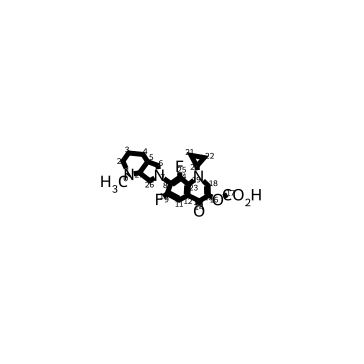 CN1CCCC2CN(c3c(F)cc4c(=O)c(OC(=O)O)cn(C5CC5)c4c3F)CC21